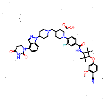 COc1cc(OC2C(C)(C)C(NC(=O)c3ccc(N4CCC(CN5CCC(n6ncc7c(N8CCC(=O)NC8=O)cccc76)CC5)CC4)c(F)c3)C2(C)C)ccc1C#N.O=CO